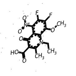 CCn1c(C)c(C(=O)O)c(=O)c2c([N+](=O)[O-])c(F)c(F)c(OC)c21